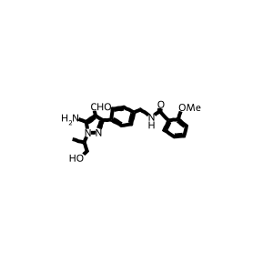 COc1ccccc1C(=O)NCc1ccc(-c2nn(C(C)CO)c(N)c2C=O)cc1